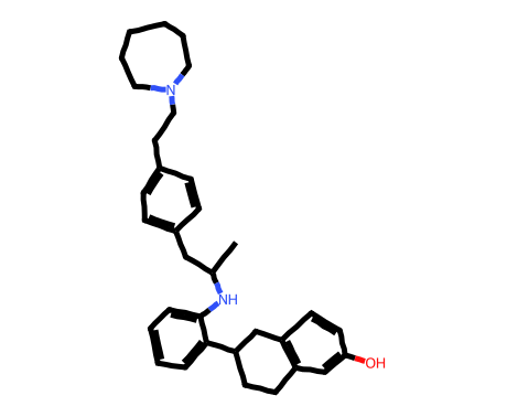 CC(Cc1ccc(CCN2CCCCCC2)cc1)Nc1ccccc1C1CCc2cc(O)ccc2C1